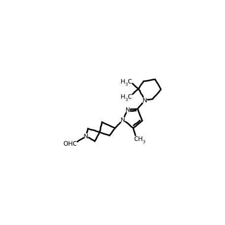 Cc1cc(N2CCCCC2(C)C)nn1C1CC2(C1)CN(C=O)C2